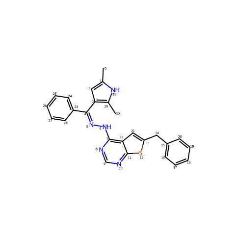 Cc1cc(C(=NNc2ncnc3sc(Cc4ccccc4)cc23)c2ccccc2)c(C)[nH]1